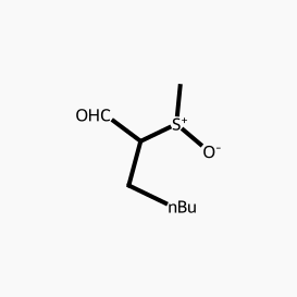 CCCCCC(C=O)[S+](C)[O-]